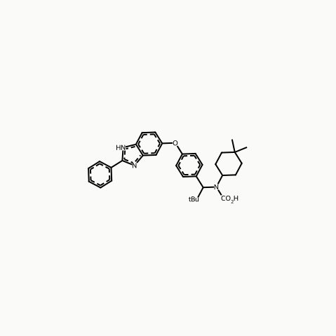 CC1(C)CCC(N(C(=O)O)C(c2ccc(Oc3ccc4[nH]c(-c5ccccc5)nc4c3)cc2)C(C)(C)C)CC1